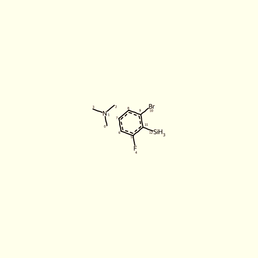 CN(C)C.Fc1cccc(Br)c1[SiH3]